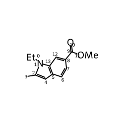 CCn1c(C)cc2ccc(C(=O)OC)cc21